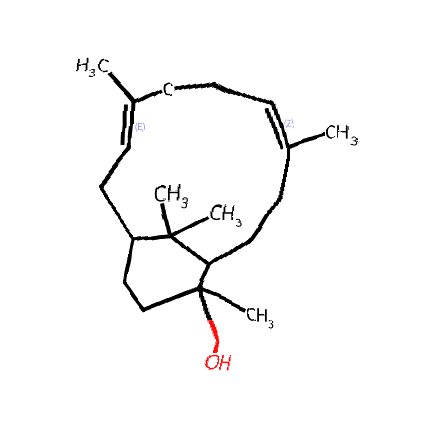 C/C1=C/CC/C(C)=C/CC2CCC(C)(O)C(CC1)C2(C)C